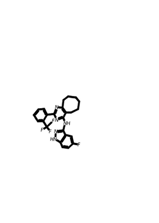 Fc1ccc2[nH]nc(Nc3nc(-c4ccccc4C(F)(F)F)nc4c3CCCCCC4)c2c1